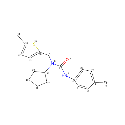 CCc1ccc(NC(=O)N(Cc2ccc(C)s2)C2CCCC2)cc1